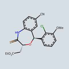 CCOC(=O)C[C@H]1O[C@H](c2cccc(OC)c2Cl)c2cc(C#N)ccc2NC1=S